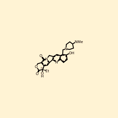 CC[C@@]1(O)C(=O)OCc2c1cc1n(c2=O)Cc2cc3c(CN4CCC(NC)CC4)c(O)ccc3nc2-1